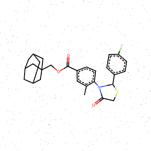 Cc1cc(C(=O)OCC23CC4CC(CC(C4)C2)C3)ccc1N1C(=O)CSC1c1ccc(F)cc1